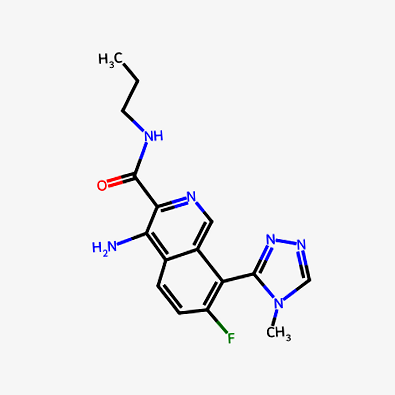 CCCNC(=O)c1ncc2c(-c3nncn3C)c(F)ccc2c1N